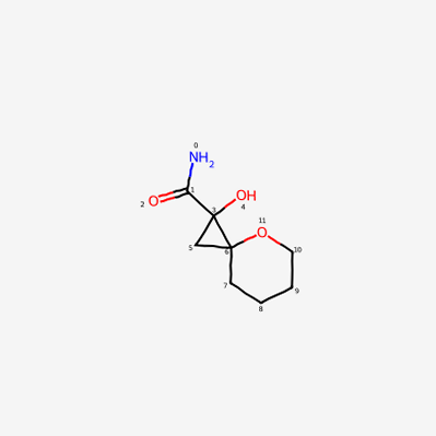 NC(=O)C1(O)CC12CCCCO2